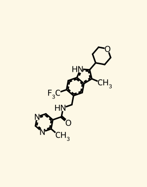 Cc1ncncc1C(=O)NCc1cc2c(C)c(C3CCOCC3)[nH]c2cc1C(F)(F)F